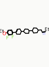 CC/C=C\CC1CCC(C2CCC(C3CC=C(c4ccc(OCC)c(F)c4F)CC3)CC2)CC1